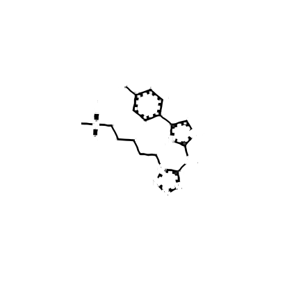 CS(=O)(=O)CCCCCn1nnnc1Sc1nc(-c2ccc(Cl)cc2)cs1